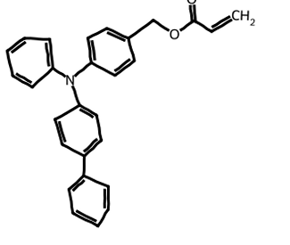 C=CC(=O)OCc1ccc(N(c2ccccc2)c2ccc(-c3ccccc3)cc2)cc1